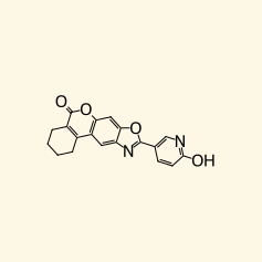 O=c1oc2cc3oc(-c4ccc(O)nc4)nc3cc2c2c1CCCC2